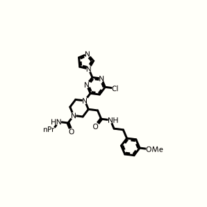 CCCNC(=O)N1CCN(c2cc(Cl)nc(-n3ccnc3)n2)C(CC(=O)NCCc2cccc(OC)c2)C1